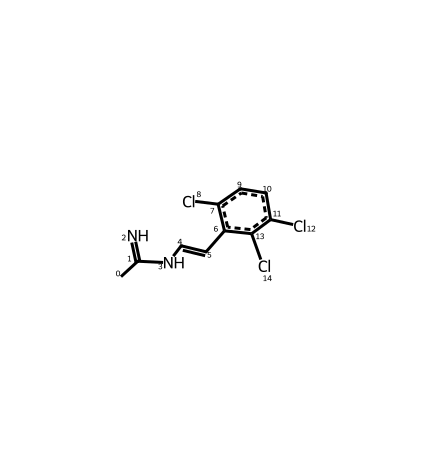 CC(=N)N/C=C/c1c(Cl)ccc(Cl)c1Cl